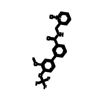 COc1cc(-c2cccc(C(=O)NCc3cccc[n+]3[O-])c2)ccc1OC(F)(F)F